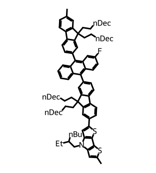 CCCCCCCCCCCCC1(CCCCCCCCCCCC)c2cc(C)ccc2-c2ccc(-c3c4ccccc4c(-c4ccc5c(c4)C(CCCCCCCCCCCC)(CCCCCCCCCCCC)c4cc(-c6cc7c(s6)c6sc(C)cc6n7CC(CC)CCCC)ccc4-5)c4ccc(F)cc34)cc21